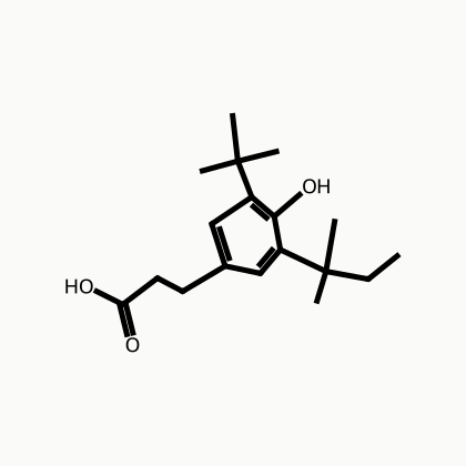 CCC(C)(C)c1cc(CCC(=O)O)cc(C(C)(C)C)c1O